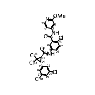 COc1cc(NC(=O)c2cc(NC(=O)[C@H]3[C@H](c4cc(Cl)cc(Cl)c4)C3(Cl)Cl)ccc2Cl)ccn1